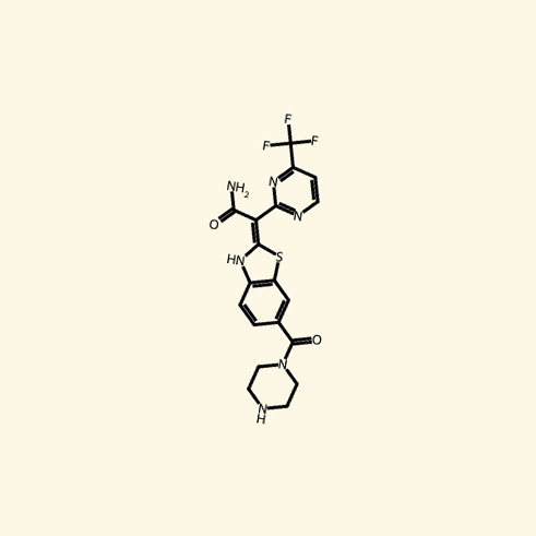 NC(=O)/C(=C1\Nc2ccc(C(=O)N3CCNCC3)cc2S1)c1nccc(C(F)(F)F)n1